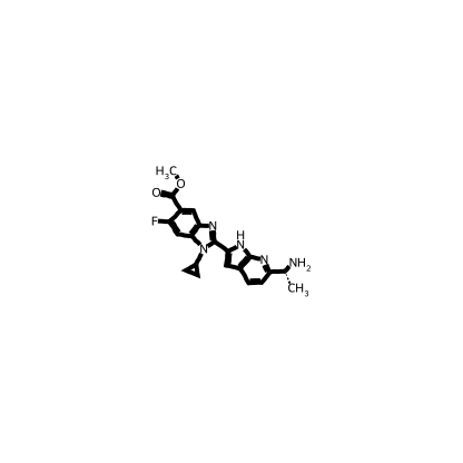 COC(=O)c1cc2nc(-c3cc4ccc([C@@H](C)N)nc4[nH]3)n(C3CC3)c2cc1F